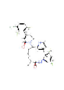 CC1CCCC(N2CCC(c3c(F)ccc(Cl)c3F)=CC2=O)c2cc(ccn2)-c2c(F)cc(F)cc2NC1=O